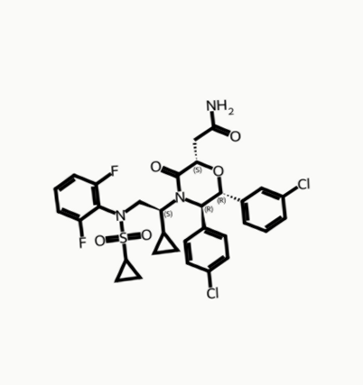 NC(=O)C[C@@H]1O[C@H](c2cccc(Cl)c2)[C@@H](c2ccc(Cl)cc2)N([C@H](CN(c2c(F)cccc2F)S(=O)(=O)C2CC2)C2CC2)C1=O